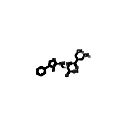 CCC(CC)C(=O)N[C@@H](CNc1ncc(-c2ccccc2)[nH]1)C(=O)O